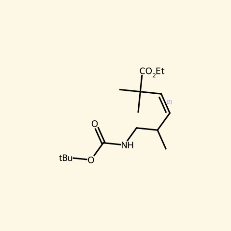 CCOC(=O)C(C)(C)/C=C\C(C)CNC(=O)OC(C)(C)C